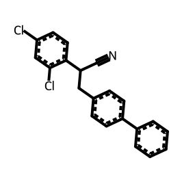 N#CC(Cc1ccc(-c2ccccc2)cc1)c1ccc(Cl)cc1Cl